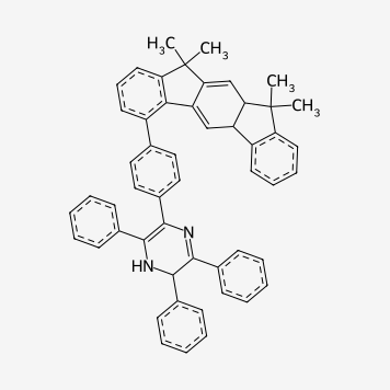 CC1(C)C2=CC3C(C=C2c2c(-c4ccc(C5=C(c6ccccc6)NC(c6ccccc6)C(c6ccccc6)=N5)cc4)cccc21)c1ccccc1C3(C)C